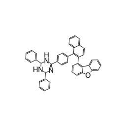 c1ccc(C2N=C(c3ccc(-c4c(-c5cccc6oc7ccccc7c56)ccc5ccccc45)cc3)NC(c3ccccc3)N2)cc1